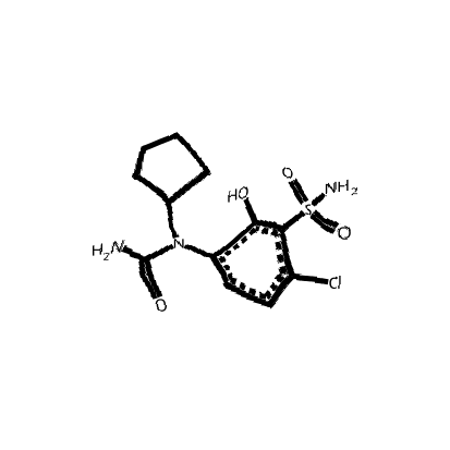 NC(=O)N(c1ccc(Cl)c(S(N)(=O)=O)c1O)C1CCCC1